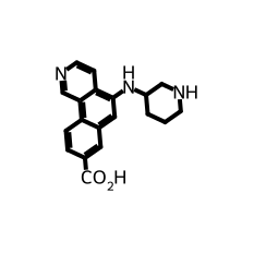 O=C(O)c1ccc2c(c1)cc(NC1CCCNC1)c1ccncc12